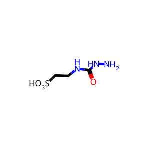 NNC(=O)NCCS(=O)(=O)O